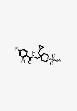 CC(C)S(=O)(=O)N1CCC(CNC(=O)c2ccc(F)cc2Cl)(CC2CC2)CC1